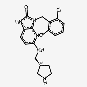 O=c1[nH]c2ccc(NC[C@H]3CCNC3)nc2n1Cc1c(Cl)cccc1Cl